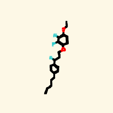 CCCCCc1ccc(C(F)CCOc2ccc(OCC)c(F)c2F)cc1